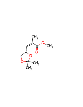 COC(=O)C(C)=CC1COC(C)(C)O1